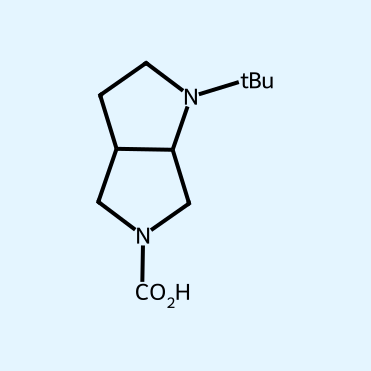 CC(C)(C)N1CCC2CN(C(=O)O)CC21